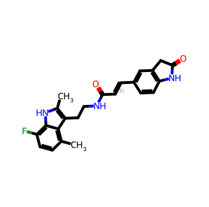 Cc1[nH]c2c(F)ccc(C)c2c1CCNC(=O)/C=C/c1ccc2c(c1)CC(=O)N2